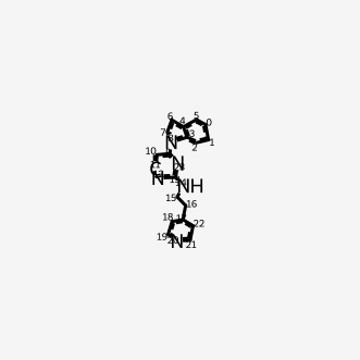 c1ccc2c(c1)ccn2-c1ccnc(NCCc2ccncc2)n1